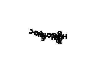 CCC(CC)c1ccc(N(Cc2nc(-c3ccc(CSC[C@H](NC(=O)OC(C)(C)C)C(=O)O)cc3)cs2)C(C)C)cc1